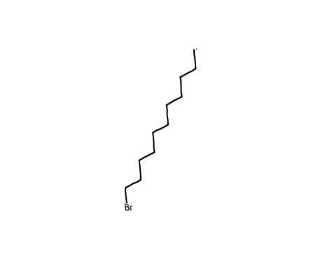 [CH2]CCCCCCCCCCBr